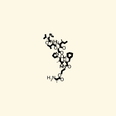 CC[C@H](C)[C@@H]([C@@H](CC(=O)N1CCC[C@H]1C(OC)[C@@H](C)C(=O)N[C@@H](Cc1ccccc1)C(=O)NCCCOC(=O)[C@H](C)N)OC)N(C)C(=O)[C@@H](NC(=O)[C@H](C(C)C)N(C)C)C(C)C